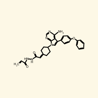 C=CC(=O)NNC(=O)C=C1CCC(n2cc(-c3ccc(Oc4ccccc4)cc3)c3c(N)ncnc32)CC1